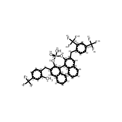 Cc1cc(C(F)(F)F)ccc1Cc1cc2ccccc2c2c1OP(=O)(O)Oc1c(Cc3ccc(C(F)(F)F)cc3C(F)(F)F)cc3ccccc3c1-2